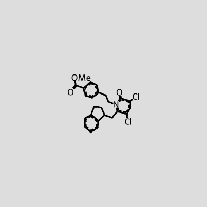 COC(=O)c1ccc(CCn2c(CC3CCc4ccccc43)c(Cl)cc(Cl)c2=O)cc1